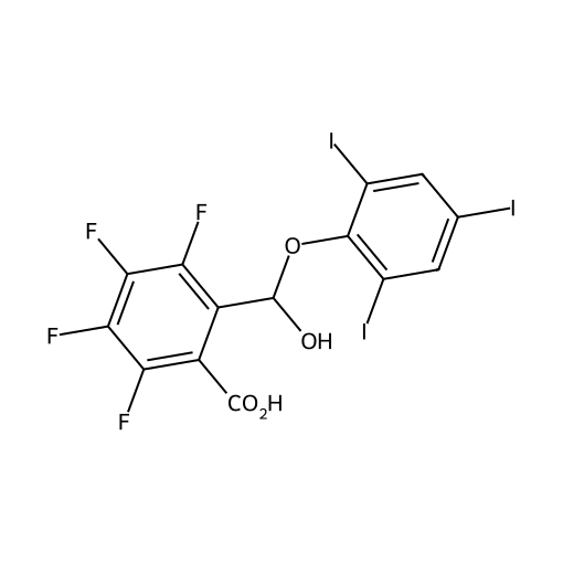 O=C(O)c1c(F)c(F)c(F)c(F)c1C(O)Oc1c(I)cc(I)cc1I